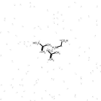 C=C(C)C(=O)O.C=C(C)C(=O)O.NCC(=O)O